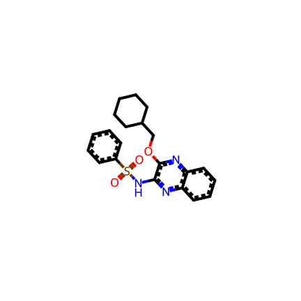 O=S(=O)(Nc1nc2ccccc2nc1OCC1CCCCC1)c1ccccc1